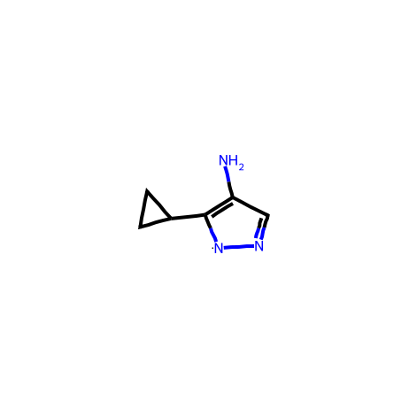 NC1=C(C2CC2)[N]N=C1